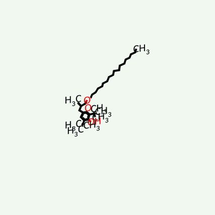 CCCCCCCCCCCCCCCCCCOC(=O)C(CC)Cc1cc(C(C)(C)C)c(O)c(C(C)(C)C)c1